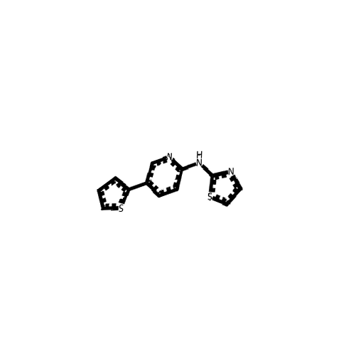 c1csc(-c2ccc(Nc3nccs3)nc2)c1